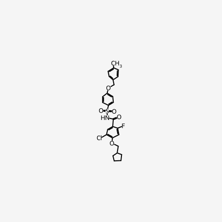 Cc1ccc(COc2ccc(S(=O)(=O)NC(=O)c3cc(Cl)c(OCC4CCCC4)cc3F)cc2)cc1